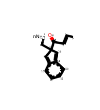 C/C=C/C(=O)C1(CCCCCCCCCC)C=c2ccccc2=C1